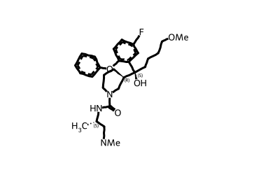 CNC[C@H](C)NC(=O)N1CCC[C@@H]([C@@](O)(CCCCOC)c2cc(F)ccc2Oc2ccccc2)C1